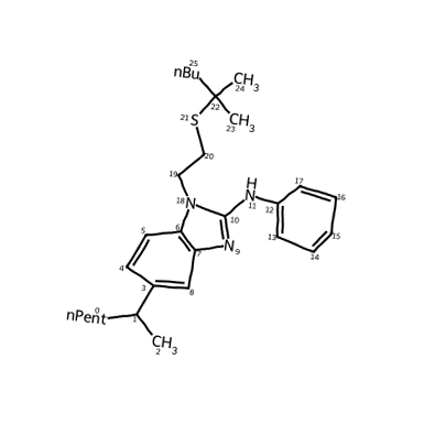 CCCCCC(C)c1ccc2c(c1)nc(Nc1ccccc1)n2CCSC(C)(C)CCCC